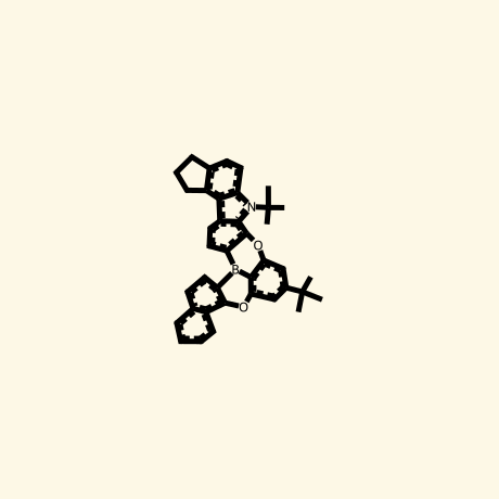 CC(C)(C)c1cc2c3c(c1)Oc1c(ccc4c5c6c(ccc5n(C(C)(C)C)c14)CCC6)B3c1ccc3ccccc3c1O2